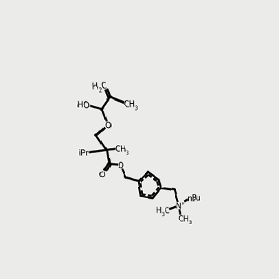 C=C(C)C(O)OCC(C)(C(=O)OCc1ccc(C[N+](C)(C)CCCC)cc1)C(C)C